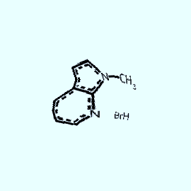 Br.Cn1ccc2cccnc21